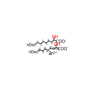 CCCCCCCCCCCCCCCCC(O)C(=O)[O-].CCCCCCCCCCCCCCCCC(O)C(=O)[O-].[Zn+2]